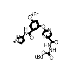 CC(C)Oc1cc(Oc2cnc(C(=O)NNC(=O)OC(C)(C)C)cn2)cc(C(=O)Nc2ccn(C)n2)c1